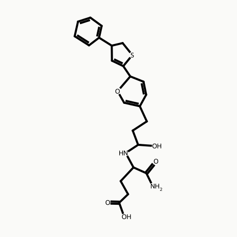 NC(=O)C(CCC(=O)O)NC(O)CCC1=COC(C2=CC(c3ccccc3)CS2)C=C1